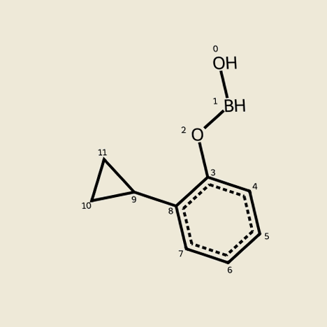 OBOc1ccccc1C1CC1